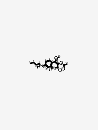 CCCCNc1ccc2c(OC)c(OC(C)=O)c(=O)[nH]c2c1